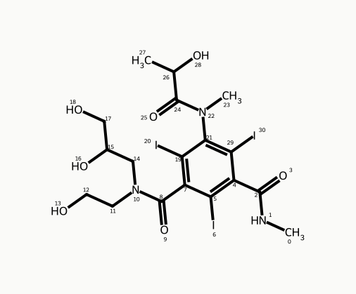 CNC(=O)c1c(I)c(C(=O)N(CCO)CC(O)CO)c(I)c(N(C)C(=O)C(C)O)c1I